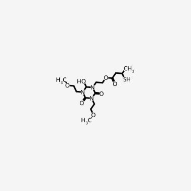 COCCN1C(=O)N(CCOC)C(O)N(CCOC(=O)CC(C)S)C1=O